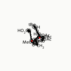 C=C1C[C@H]2C(O)N(C(=O)OCc3ccc(O[C@@H]4O[C@H](C(=O)OC)[C@@H](OC(C)=O)[C@H](OC(C)=O)[C@H]4OC(C)=O)c(C(=O)NCCOCCONC(=O)OC(C)(C)C)c3)c3cc(OCCCCCCCn4cc(C(=O)O)nn4)c(OC)cc3C(=O)N2C1